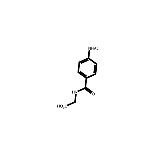 CC(=O)Nc1ccc(C(=O)NCC(=O)O)cc1